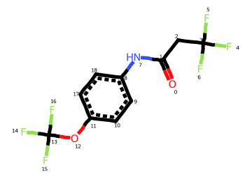 O=C(CC(F)(F)F)Nc1ccc(OC(F)(F)F)cc1